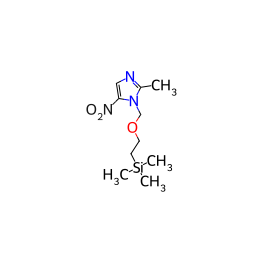 Cc1ncc([N+](=O)[O-])n1COCC[Si](C)(C)C